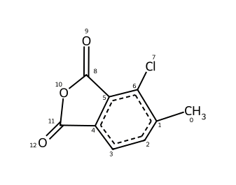 Cc1ccc2c(c1Cl)C(=O)OC2=O